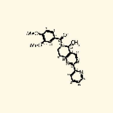 COc1ccc(C(=O)N2CCc3nc(-c4ccccn4)ncc3C2C)cc1OC